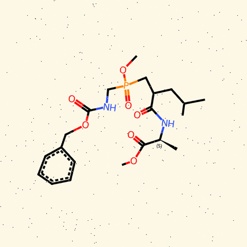 COC(=O)[C@H](C)NC(=O)C(CC(C)C)CP(=O)(CNC(=O)OCc1ccccc1)OC